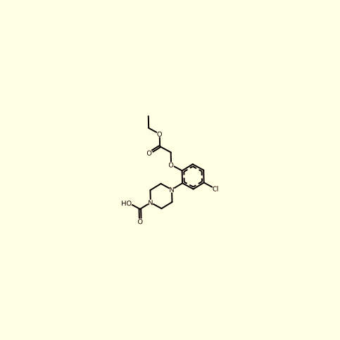 CCOC(=O)COc1ccc(Cl)cc1N1CCN(C(=O)O)CC1